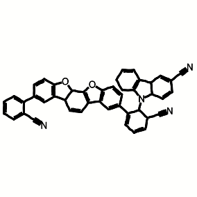 N#CC1=CC2C3=C(CCC=C3)N(C3C(c4ccc5oc6c(c5c4)C=CC4c5cc(-c7ccccc7C#N)ccc5OC64)=CC=CC3C#N)C2C=C1